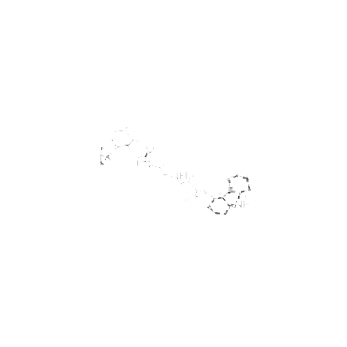 O=C(CC1CCCCC1O[N+](=O)[O-])NCCNCCC(O)Oc1cccc2[nH]c3ccccc3c12